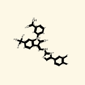 Cc1ccc(-c2csc(NC=C3C(=O)N(c4cccc(C(=O)O)c4)c4cc(C(F)(F)F)ccc43)n2)cc1C